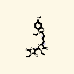 CCN1C(=O)/C(=c2/s/c(=C\C=C\c3sc4cc(OC)ccc4[n+]3CC)c(=O)n2CC)SC1=S